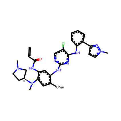 C=CC(=O)Nc1cc(Nc2ncc(Cl)c(Nc3ccccc3-c3ccn(C)n3)n2)c(OC)cc1N(C)[C@H]1CCN(C)C1